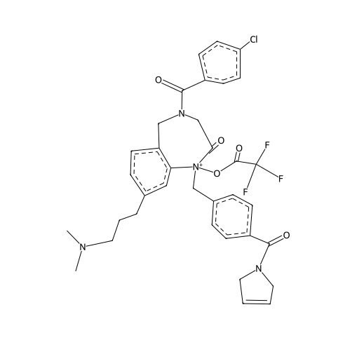 CN(C)CCCc1ccc2c(c1)[N+](Cc1ccc(C(=O)N3CC=CC3)cc1)(OC(=O)C(F)(F)F)C(=O)CN(C(=O)c1ccc(Cl)cc1)C2